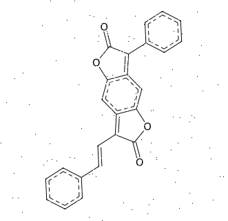 O=C1Oc2cc3c(cc2=C1C=Cc1ccccc1)OC(=O)C=3c1ccccc1